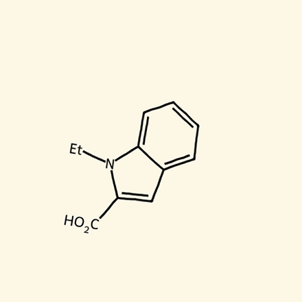 CCn1c(C(=O)O)cc2ccccc21